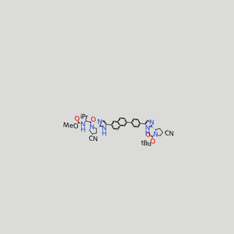 COC(=O)N[C@H](C(=O)N1C[C@@H](C#N)C[C@H]1c1ncc(-c2ccc3cc(-c4ccc(-c5cnc([C@@H]6C[C@H](C#N)CN6C(=O)OC(C)(C)C)[nH]5)cc4)ccc3c2)[nH]1)C(C)C